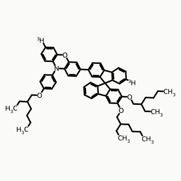 [3H]c1ccc2c(c1)Oc1cc(-c3ccc4c(c3)C3(c5ccccc5-c5cc(OCC(CC)CCCC)c(OCC(CC)CCCC)cc53)c3cc([3H])ccc3-4)ccc1N2c1ccc(OCC(CC)CCCC)cc1